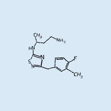 Cc1cc(Cc2nsc(NC(C)CCN)n2)ccc1F